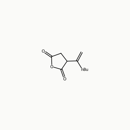 C=C(CCCC)C1CC(=O)OC1=O